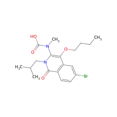 CCCCOc1c(N(C)C(=O)O)n(CC(C)C)c(=O)c2ccc(Br)cc12